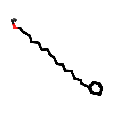 CCCOCCCCCCCCCCCCCCCCc1ccccc1